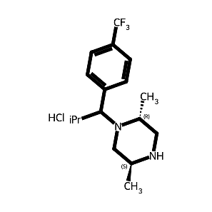 CC(C)C(c1ccc(C(F)(F)F)cc1)N1C[C@H](C)NC[C@H]1C.Cl